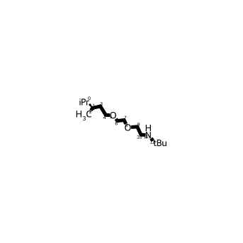 CC(C)[C@H](C)CCOCCOCCNC(C)(C)C